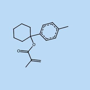 C=C(C)C(=O)OC1(c2ccc(C)cc2)CCCCC1